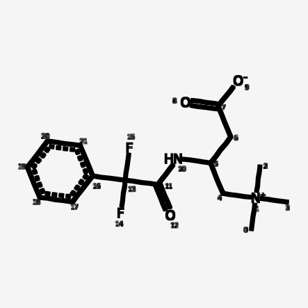 C[N+](C)(C)CC(CC(=O)[O-])NC(=O)C(F)(F)c1ccccc1